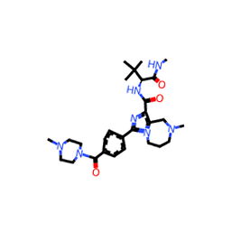 CNC(=O)[C@@H](NC(=O)c1nc(-c2ccc(C(=O)N3CCN(C)CC3)cc2)n2c1CN(C)CCC2)C(C)(C)C